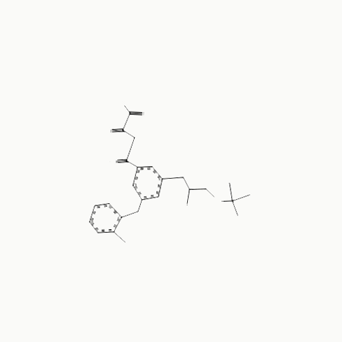 Cc1ccccc1Cc1cc(CC(O)COC(C)(C)C)cc(C(=O)CC(=O)C(=O)O)c1